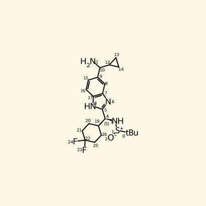 CC(C)(C)[S+]([O-])N[C@H](c1nc2cc(C(N)C3CC3)ccc2[nH]1)C1CCC(F)(F)CC1